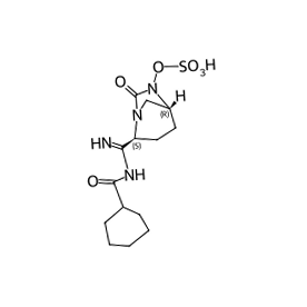 N=C(NC(=O)C1CCCCC1)[C@@H]1CC[C@@H]2CN1C(=O)N2OS(=O)(=O)O